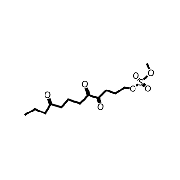 CCCC(=O)CCCC(=O)C(=O)CCCOS(=O)(=O)OC